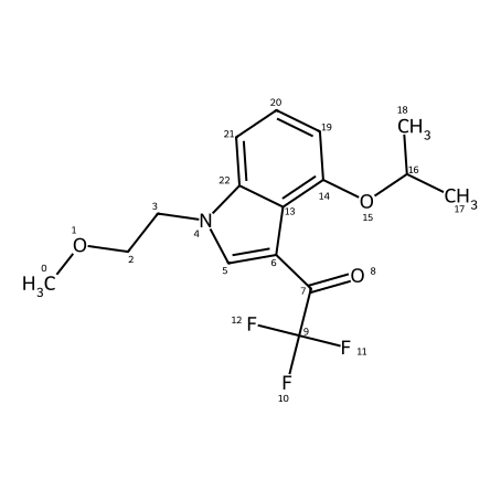 COCCn1cc(C(=O)C(F)(F)F)c2c(OC(C)C)cccc21